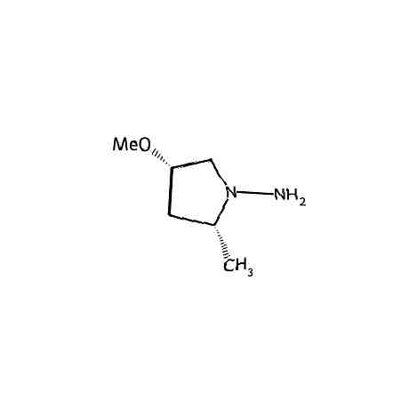 CO[C@H]1C[C@@H](C)N(N)C1